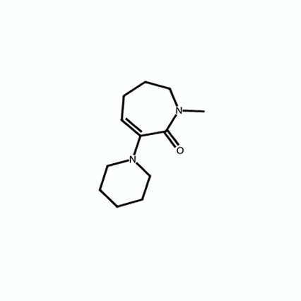 CN1CCCC=C(N2CCCCC2)C1=O